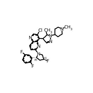 CC1C(c2c(Cl)cnc3ccc(N4C[C@@H](F)C[C@@H]4c4cc(F)ccc4F)nc23)C=NN1C1CCN(C)CC1